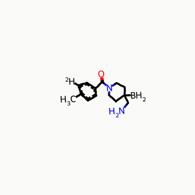 [2H]c1cc(C(=O)N2CCC(B)(CN)CC2)ccc1C